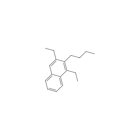 CCCCc1c(CC)cc2ccccc2c1CC